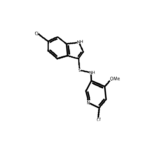 COc1cc(Cl)ncc1NSc1c[nH]c2cc(Cl)ccc12